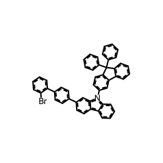 Brc1ccccc1-c1ccc(-c2ccc3c4ccccc4n(-c4ccc5c(c4)-c4ccccc4C5(c4ccccc4)c4ccccc4)c3c2)cc1